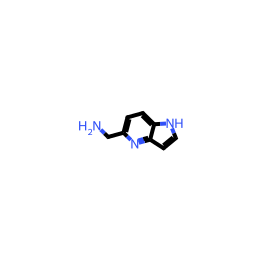 NCc1ccc2[nH]ccc2n1